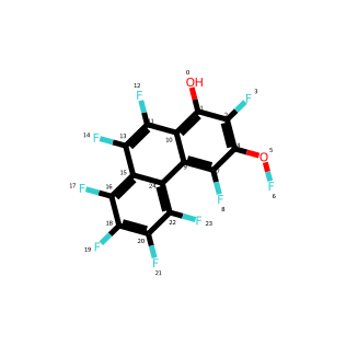 Oc1c(F)c(OF)c(F)c2c1c(F)c(F)c1c(F)c(F)c(F)c(F)c12